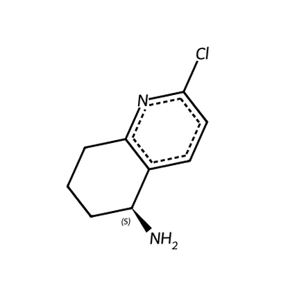 N[C@H]1CCCc2nc(Cl)ccc21